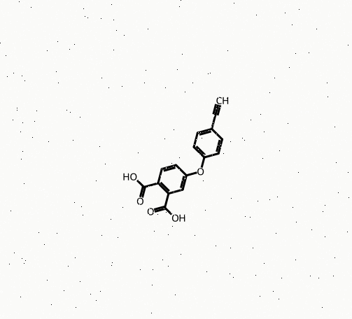 C#Cc1ccc(Oc2ccc(C(=O)O)c(C(=O)O)c2)cc1